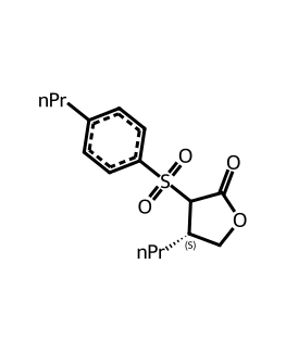 CCCc1ccc(S(=O)(=O)C2C(=O)OC[C@@H]2CCC)cc1